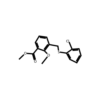 COC(=O)c1cccc(CSc2ccccc2Cl)c1OC